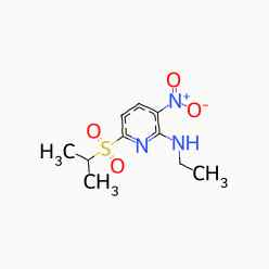 CCNc1nc(S(=O)(=O)C(C)C)ccc1[N+](=O)[O-]